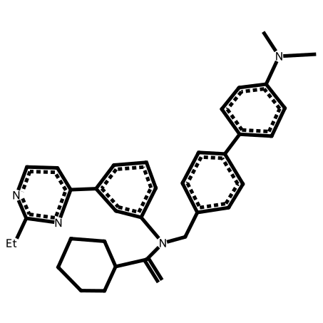 C=C(C1CCCCC1)N(Cc1ccc(-c2ccc(N(C)C)cc2)cc1)c1cccc(-c2ccnc(CC)n2)c1